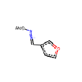 CO/N=C/c1ccoc1